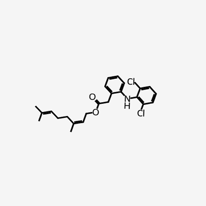 CC(C)=CCCC(C)=CCOC(=O)Cc1ccccc1Nc1c(Cl)cccc1Cl